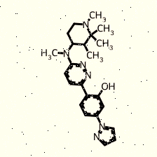 CC1C(N(C)c2ccc(-c3ccc(-n4cccn4)cc3O)nn2)CCN(C)C1(C)C